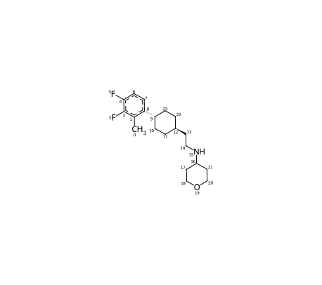 Cc1c(F)c(F)ccc1[C@H]1CC[C@H](CCNC2CCOCC2)CC1